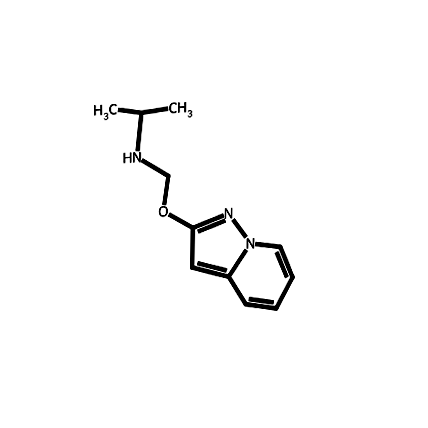 CC(C)NCOc1cc2ccccn2n1